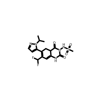 CC(C)n1nccc1C1=C(C(F)F)C=C2NC(=O)N(NS(C)(=O)=O)C(=O)C2C1